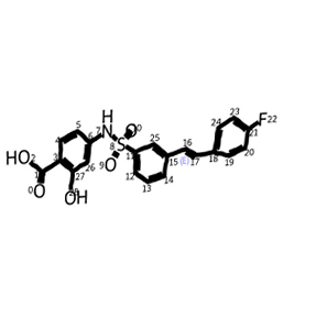 O=C(O)c1ccc(NS(=O)(=O)c2cccc(/C=C/c3ccc(F)cc3)c2)cc1O